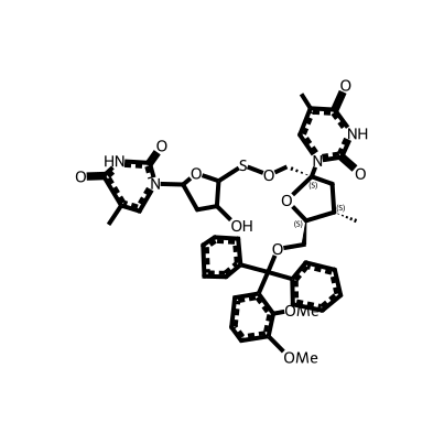 COc1cccc(C(OC[C@H]2O[C@@](COSC3OC(n4cc(C)c(=O)[nH]c4=O)CC3O)(n3cc(C)c(=O)[nH]c3=O)C[C@@H]2C)(c2ccccc2)c2ccccc2)c1OC